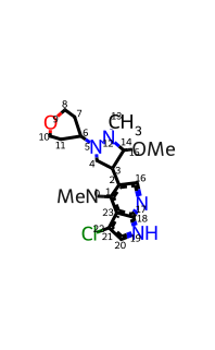 CNc1c(C2CN(C3CCOCC3)N(C)C2OC)cnc2[nH]cc(Cl)c12